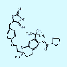 CC1(CCOc2ccc(CC3SC(=N)NC3=N)cc2)CCc2cc(OC(=O)C3CCCC3)c(C(C)(C)C)cc2O1